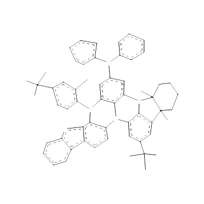 Cc1cc(C(C)(C)C)ccc1N1c2cc(N(c3ccccc3)c3ccccc3)cc3c2B(c2cc(C(C)(C)C)cc4c2N3C2(C)CCCCC42C)c2ccc3c(sc4ccccc43)c21